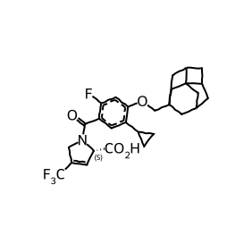 O=C(O)[C@@H]1C=C(C(F)(F)F)CN1C(=O)c1cc(C2CC2)c(OCC23CC4CC5CC(C2)C5(C4)C3)cc1F